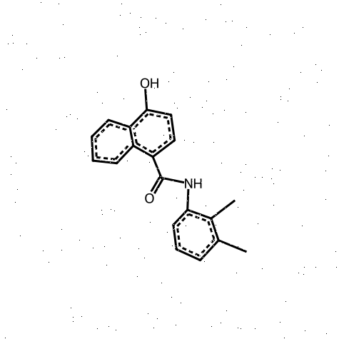 Cc1cccc(NC(=O)c2ccc(O)c3ccccc23)c1C